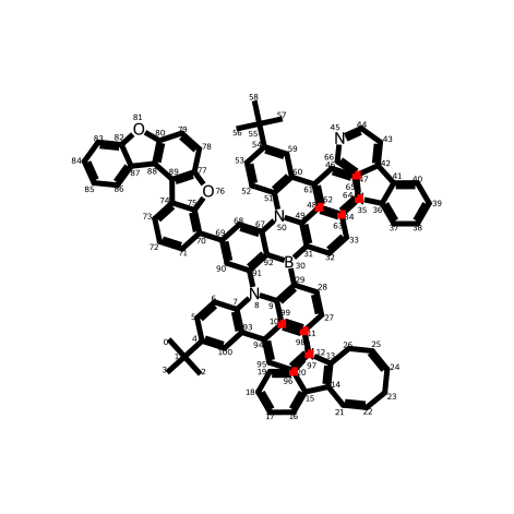 CC(C)(C)c1ccc(N2c3cc(-n4c5c(c6ccccc64)/C=C\C/C=C\C5)ccc3B3c4ccc(-n5c6ccccc6c6ccncc65)cc4N(c4ccc(C(C)(C)C)cc4-c4ccccc4)c4cc(-c5cccc6c5oc5ccc7oc8ccccc8c7c56)cc2c43)c(-c2ccccc2)c1